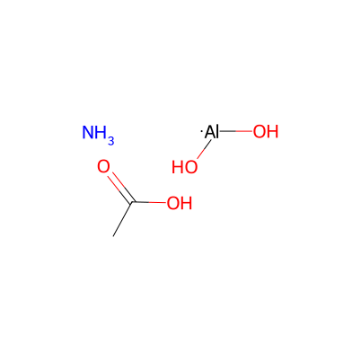 CC(=O)O.N.[OH][Al][OH]